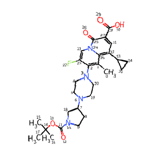 Cc1c(N2CCN(C3CCN(C(=O)OC(C)(C)C)C3)CC2)c(F)cn2c(=O)c(C(=O)O)cc(C3CC3)c12